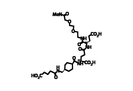 CNC(=O)COCCOCCNC(=O)[C@H](CCC(=O)O)NC(=O)CC[C@H](NC(=O)[C@H]1CC[C@H](CNC(=O)CCCC(=O)O)CC1)C(=O)O